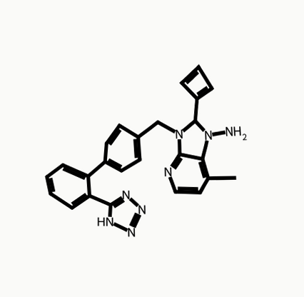 Cc1ccnc2c1N(N)C(C1=CC=C1)N2Cc1ccc(-c2ccccc2-c2nnn[nH]2)cc1